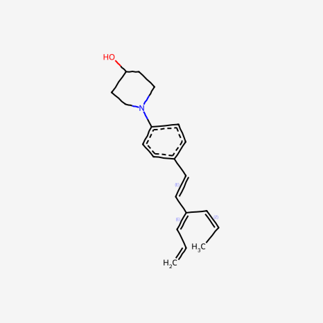 C=C/C=C(\C=C/C)/C=C/c1ccc(N2CCC(O)CC2)cc1